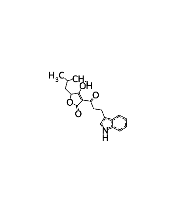 CC(C)CC1OC(=O)C(C(=O)CCc2c[nH]c3ccccc23)=C1O